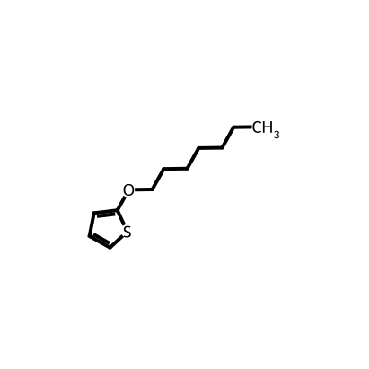 CCCCCCCOc1cccs1